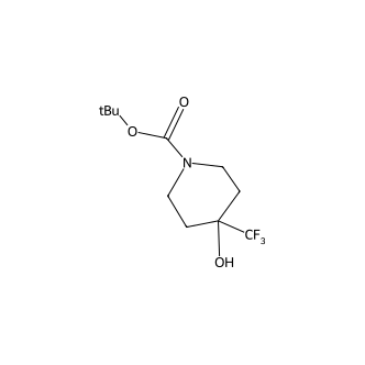 CC(C)(C)OC(=O)N1CCC(O)(C(F)(F)F)CC1